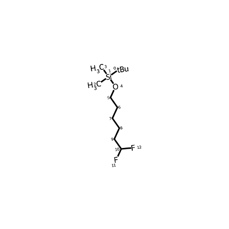 CC(C)(C)[Si](C)(C)OCCCCCC(F)F